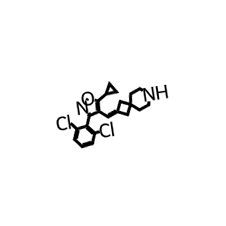 Clc1cccc(Cl)c1-c1noc(C2CC2)c1C=C1CC2(CCNCC2)C1